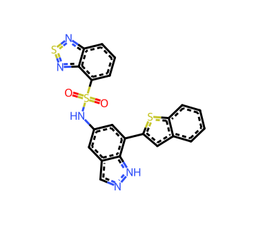 O=S(=O)(Nc1cc(-c2cc3ccccc3s2)c2[nH]ncc2c1)c1cccc2nsnc12